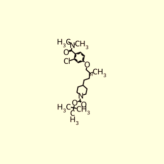 C[C@@H](CCC1CCN(C(=O)OC(C)(C)C)CC1)COc1ccc(C(=O)N(C)C)c(Cl)c1